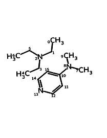 CCN(CC)CC.CN(C)c1ccncc1